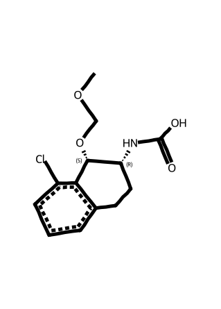 COCO[C@H]1c2c(Cl)cccc2CC[C@H]1NC(=O)O